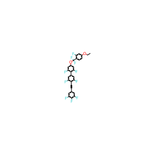 CCOc1ccc(C(F)(F)Oc2cc(F)c(-c3cc(F)c(C#Cc4cc(F)c(F)c(F)c4)c(F)c3)c(F)c2)c(F)c1